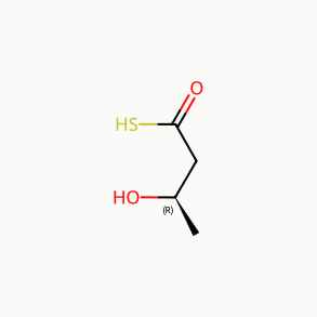 C[C@@H](O)CC(=O)S